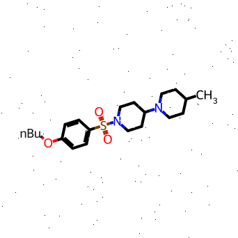 CCCCOc1ccc(S(=O)(=O)N2CCC(N3CCC(C)CC3)CC2)cc1